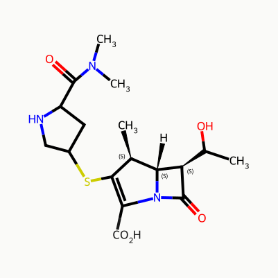 CC(O)[C@H]1C(=O)N2C(C(=O)O)=C(SC3CNC(C(=O)N(C)C)C3)[C@@H](C)[C@H]12